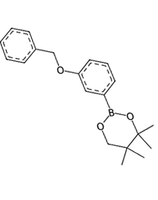 CC1(C)COB(c2cccc(OCc3ccccc3)c2)OC1(C)C